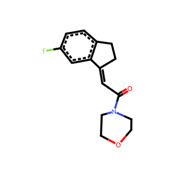 O=C(/C=C1\CCc2ccc(F)cc21)N1CCOCC1